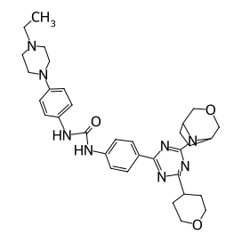 CCN1CCN(c2ccc(NC(=O)Nc3ccc(-c4nc(C5CCOCC5)nc(N5C6CCC5COC6)n4)cc3)cc2)CC1